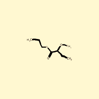 CCCOC(=O)C(CC)OC